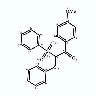 COc1ccc(C(=O)C(Sc2ccccc2)S(=O)(=O)c2ccccc2)cc1